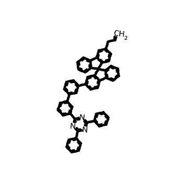 C=CCc1ccc2c(c1)-c1ccccc1C21c2ccccc2-c2ccc(-c3cccc(-c4cccc(-c5nc(-c6ccccc6)nc(-c6ccccc6)n5)c4)c3)cc21